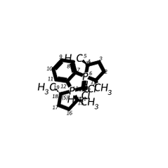 CC1CC[C@H](C)[PH]12c1ccccc1[PH]1([C@@H](C)CC[C@@H]1C)C2(Cl)Cl